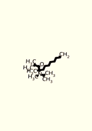 C=CCCCCCCC(C)(C(=O)C(C)C)N(C)C(C)C